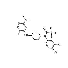 Cc1cnc(N(C)C)nc1NC1CCC(N(C(=O)C(F)(F)F)c2ccc(Cl)c(Cl)c2)CC1